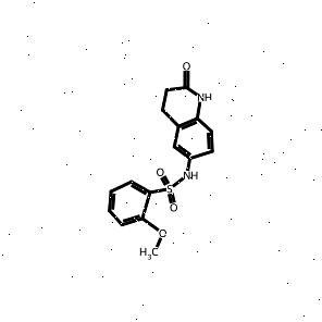 COc1ccccc1S(=O)(=O)Nc1ccc2c(c1)CCC(=O)N2